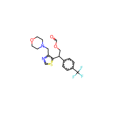 O=COCC(c1ccc(C(F)(F)F)cc1)c1scnc1CN1CCOCC1